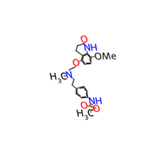 COc1ccc(OCCN(C)CCc2ccc(NS(C)(=O)=O)cc2)c2c1NC(=O)CC2